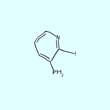 Pc1cccnc1I